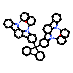 c1ccc(-n2c3ccccc3c3ccc4c5cc(C6(c7ccc8c(c7)c7ccc9c%10ccccc%10n(-c%10ccccc%10)c9c7n8-c7ccccc7)c7ccccc7-c7ccccc76)ccc5n(-c5ccccc5)c4c32)cc1